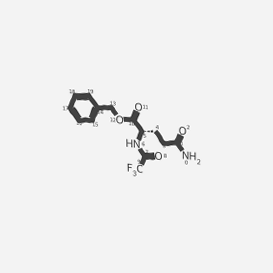 NC(=O)CC[C@H](NC(=O)C(F)(F)F)C(=O)OCc1ccccc1